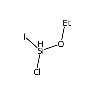 CCO[SiH](Cl)I